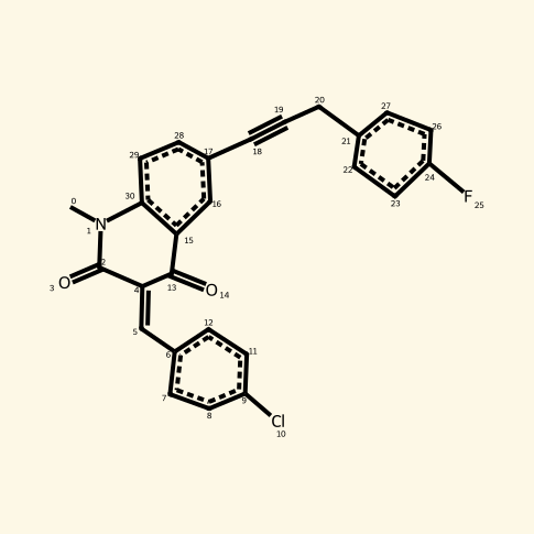 CN1C(=O)/C(=C/c2ccc(Cl)cc2)C(=O)c2cc(C#CCc3ccc(F)cc3)ccc21